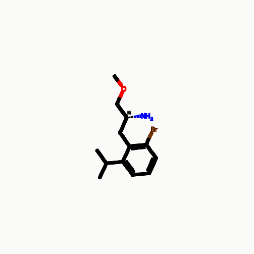 COC[C@H](N)Cc1c(Br)cccc1C(C)C